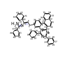 N/C(=N\C(=C/Cc1ccc(-c2c(-c3nc(-c4ccccc4)nc(-c4ccccc4)n3)ccc3ccccc23)cc1)c1ccccc1)c1ccccc1